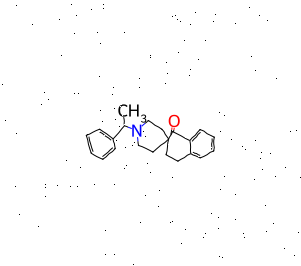 CC(c1ccccc1)N1CCC2(CCc3ccccc3C2=O)CC1